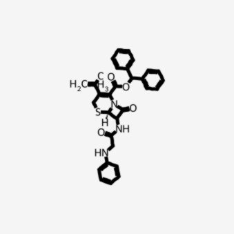 C=C(C)C1=C(C(=O)OC(c2ccccc2)c2ccccc2)N2C(=O)C(NC(=O)CNc3ccccc3)[C@H]2SC1